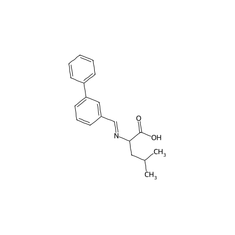 CC(C)CC(/N=C/c1cccc(-c2ccccc2)c1)C(=O)O